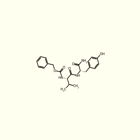 CC(C)[C@H](NC(=O)OCc1ccccc1)C(=O)N[C@@H](Cc1ccc(O)cc1)C(N)=O